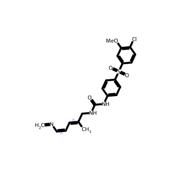 C=N/C=C\C=C(/C)CNC(=O)Nc1ccc(S(=O)(=O)c2ccc(Cl)c(OC)c2)cc1